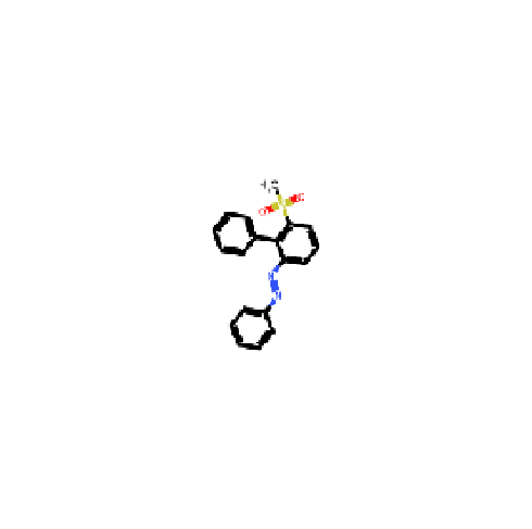 CS(=O)(=O)c1[c]ccc(N=Nc2ccccc2)c1-c1ccccc1